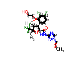 COCn1cnc(NC(=O)[C@@H]2O[C@@](C)(C(F)(F)F)[C@@H](C)[C@H]2c2ccc(F)c(F)c2OCCO)n1